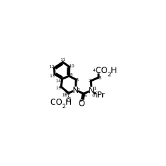 CC(C)N(CCC(=O)O)C(=O)N1Cc2ccccc2C[C@H]1C(=O)O